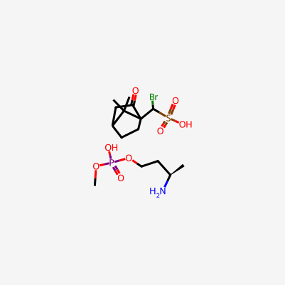 CC1(C)C2CCC1(C(Br)S(=O)(=O)O)C(=O)C2.COP(=O)(O)OCC[C@@H](C)N